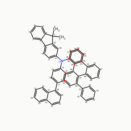 CC1(C)c2ccccc2-c2ccc(N(c3ccc(-c4cccc5ccccc45)cc3)c3ccccc3-c3cccc(-c4ccccc4)c3-c3ccccc3-c3ccccc3)cc21